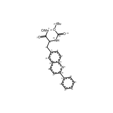 COC(=O)C(Cc1ccc2nc(-c3ccccc3)ccc2c1)NC(=O)OC(C)(C)C